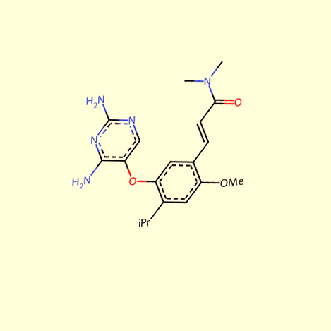 COc1cc(C(C)C)c(Oc2cnc(N)nc2N)cc1C=CC(=O)N(C)C